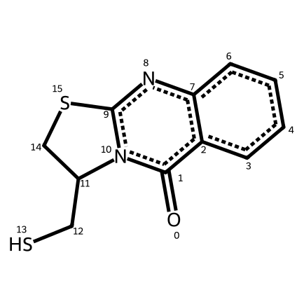 O=c1c2ccccc2nc2n1C(CS)CS2